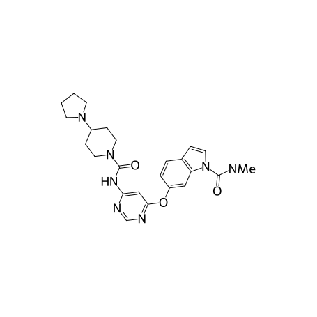 CNC(=O)n1ccc2ccc(Oc3cc(NC(=O)N4CCC(N5CCCC5)CC4)ncn3)cc21